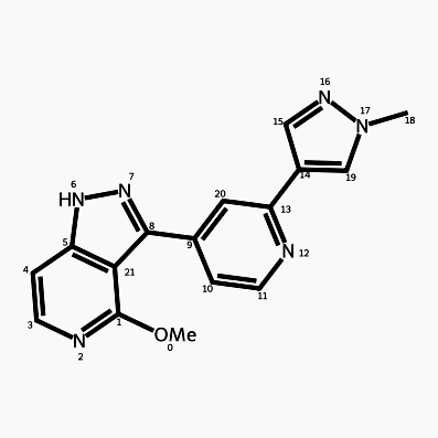 COc1nccc2[nH]nc(-c3ccnc(-c4cnn(C)c4)c3)c12